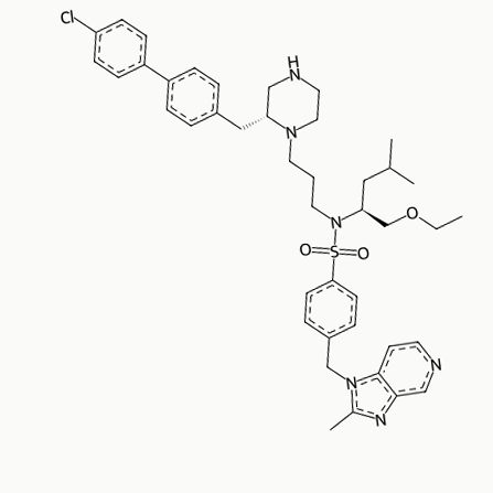 CCOC[C@H](CC(C)C)N(CCCN1CCNC[C@H]1Cc1ccc(-c2ccc(Cl)cc2)cc1)S(=O)(=O)c1ccc(Cn2c(C)nc3cnccc32)cc1